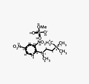 CN(CC[N+](C)(C)C)c1ncc([N+](=O)[O-])cc1[N+](=O)[O-].COS(=O)(=O)[O-]